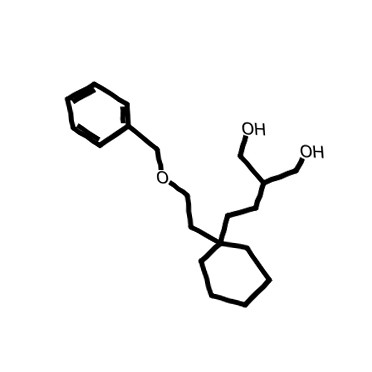 OCC(CO)CCC1(CCOCc2ccccc2)CCCCC1